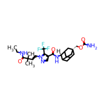 CCNC(=O)C(C)(C)/C=C/n1ncc(C(=O)N[C@H]2C3CC4CC2C[C@](COC(N)=O)(C4)C3)c1C(F)(F)F